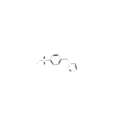 CNS(=O)(=O)c1ccc(Cn2ccnn2)cc1